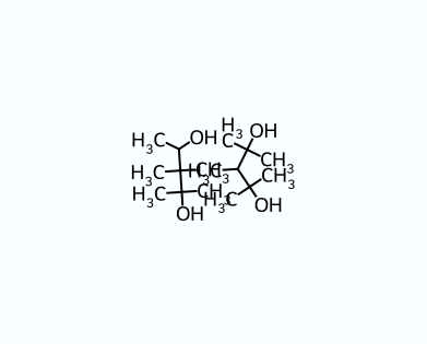 CC(C(C)(C)O)C(C)(C)O.CC(O)C(C)(C)C(C)(C)O